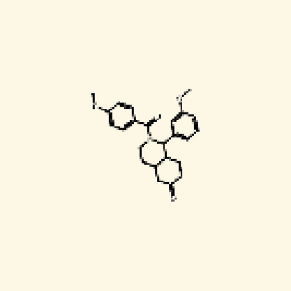 COc1ccc(C(=O)N2CCC3CC(=O)CCC3C2c2cccc(OC)c2)cc1